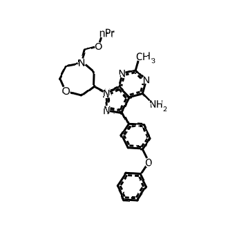 CCCOCN1CCOCC(n2nc(-c3ccc(Oc4ccccc4)cc3)c3c(N)nc(C)nc32)C1